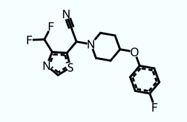 N#CC(c1scnc1C(F)F)N1CCC(Oc2ccc(F)cc2)CC1